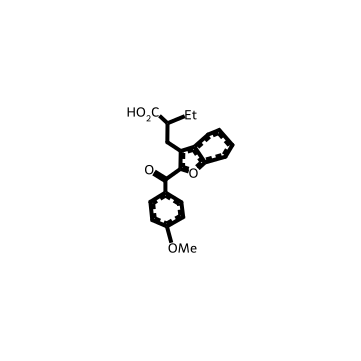 CCC(Cc1c(C(=O)c2ccc(OC)cc2)oc2ccccc12)C(=O)O